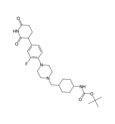 CC(C)(C)OC(=O)NC1CCC(CN2CCN(c3ccc(C4CCC(=O)NC4=O)cc3F)CC2)CC1